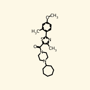 COc1ccc(-c2nc(C)c(C(=O)N3CCN(C4CCCCCC4)CC3)s2)c(C)c1